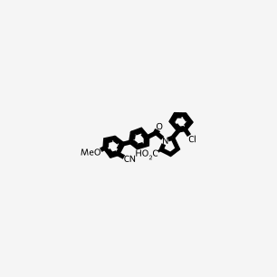 COc1ccc(-c2ccc(C(=O)N3C(c4ccccc4Cl)CC[C@H]3C(=O)O)cc2)c(C#N)c1